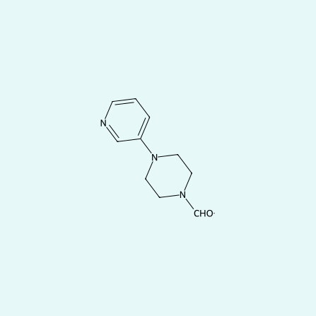 O=[C]N1CCN(c2cccnc2)CC1